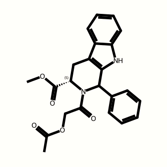 COC(=O)[C@@H]1Cc2c([nH]c3ccccc23)C(c2ccccc2)N1C(=O)COC(C)=O